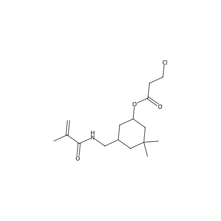 C=C(C)C(=O)NCC1CC(OC(=O)CCCl)CC(C)(C)C1